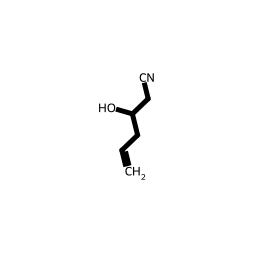 C=CCC(O)CC#N